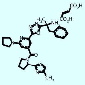 Cc1csc([C@H]2CCCN2C(=O)c2cc(-c3nnc([C@](C)(N)Cc4ccccc4)o3)nc(N3CCCC3)c2)n1.O=C(O)C=CC(=O)O